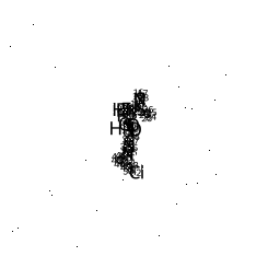 O=C(NS(=O)(=O)c1ccc(N[C@H](CCN2CCCC2)CSc2ccccc2)c(C(F)(F)F)c1)c1ccc(N2CCN(Cc3ccccc3-c3ccc(Cl)cc3)CC2)cc1